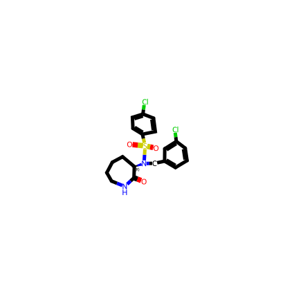 O=C1NCCCC[C@H]1N(Cc1cccc(Cl)c1)S(=O)(=O)c1ccc(Cl)cc1